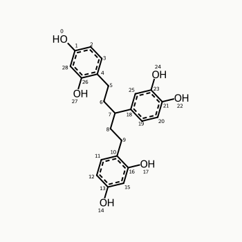 Oc1ccc(CCC(CCc2ccc(O)cc2O)c2ccc(O)c(O)c2)c(O)c1